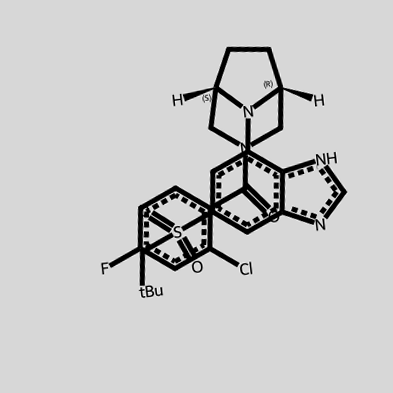 CC(C)(C)CS(=O)(=O)c1cc(N2[C@@H]3CC[C@H]2CN(C(=O)c2ccc(F)cc2Cl)C3)c2[nH]cnc2c1